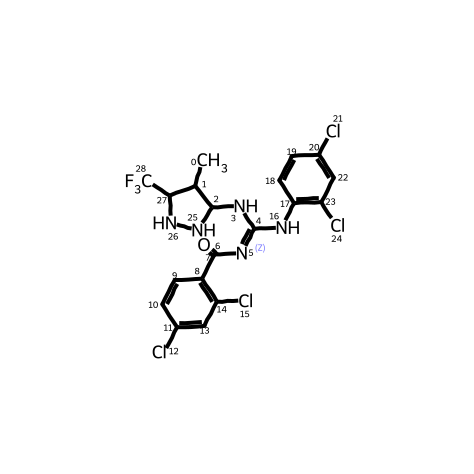 CC1C(N/C(=N\C(=O)c2ccc(Cl)cc2Cl)Nc2ccc(Cl)cc2Cl)NNC1C(F)(F)F